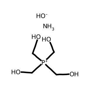 N.OC[P+](CO)(CO)CO.[OH-]